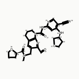 CN(Cc1cc2c(nc1C=O)N(C(=O)Nc1cc(N[C@H]3CCOC3)c(C#N)cn1)CCC2)C(=O)[C@H]1CCCO1